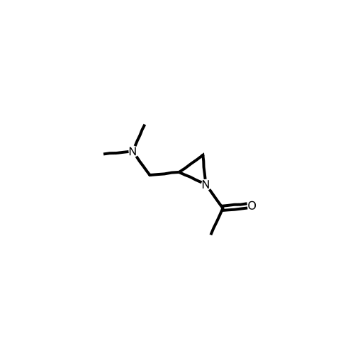 CC(=O)N1CC1CN(C)C